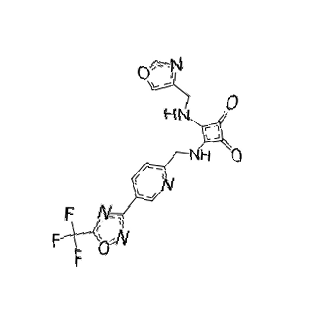 O=c1c(NCc2ccc(-c3noc(C(F)(F)F)n3)cn2)c(NCc2cocn2)c1=O